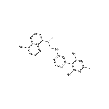 [2H]c1nc(C)nc([2H])c1-c1cc(NC[C@@H](C)c2cccc3c(C(C)=O)ccnc23)ncn1